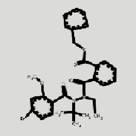 CCN(C(=O)c1ccccc1C(=O)OCc1ccccc1)N(C(=O)c1ccc(Br)cc1OC)C(C)(C)C